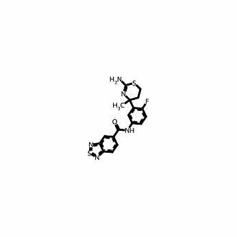 CC1(c2cc(NC(=O)c3ccc4nsnc4c3)ccc2F)CCSC(N)=N1